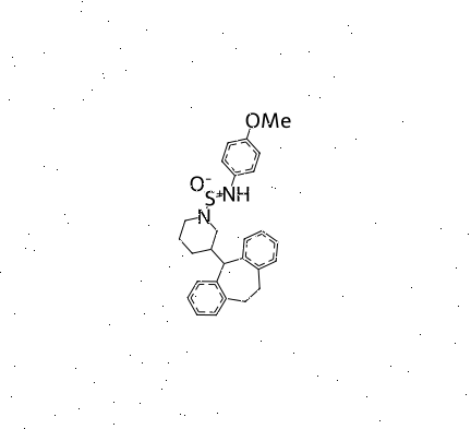 COc1ccc(N[S+]([O-])N2CCCC(C3c4ccccc4CCc4ccccc43)C2)cc1